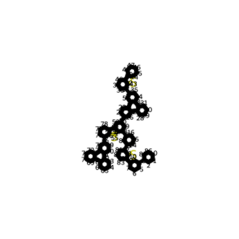 c1ccc(-c2cccc3c2sc2c(-c4cccc(-c5cc(-c6ccc7c(c6)c6ccccc6c6ccc(-c8cccc9c8sc8ccccc89)cc67)cc6c5sc5c(-c7ccc8c9ccccc9c9ccccc9c8c7)cccc56)c4)cccc23)cc1